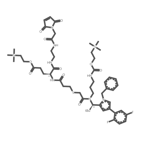 CC(C)(C)[C@H](c1cc(-c2cc(F)ccc2F)cn1Cc1ccccc1)N(CCCNC(=O)OCC[Si](C)(C)C)C(=O)CSCCC(=O)N[C@@H](CCC(=O)OCC[Si](C)(C)C)C(=O)NCCNC(=O)CN1C(=O)C=CC1=O